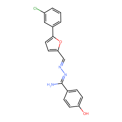 NC(=NN=Cc1ccc(-c2cccc(Cl)c2)o1)c1ccc(O)cc1